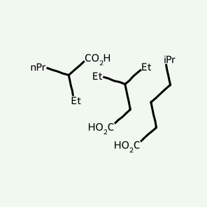 CC(C)CCCC(=O)O.CCC(CC)CC(=O)O.CCCC(CC)C(=O)O